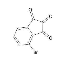 O=c1c(=O)c2cccc(Br)c2c1=O